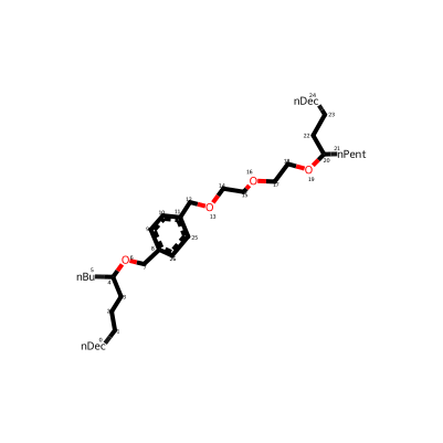 CCCCCCCCCCCCCC(CCCC)OCc1ccc(COCCOCCOC(CCCCC)CCCCCCCCCCCC)cc1